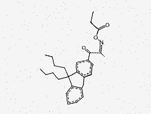 CCCCC1(CCCC)c2ccccc2-c2ccc(C(=O)/C(C)=N\OC(=O)CC)cc21